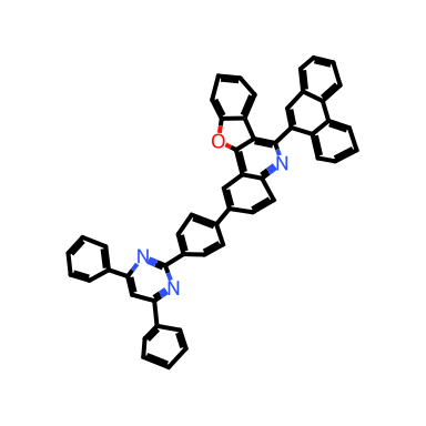 c1ccc(-c2cc(-c3ccccc3)nc(-c3ccc(-c4ccc5nc(-c6cc7ccccc7c7ccccc67)c6c7ccccc7oc6c5c4)cc3)n2)cc1